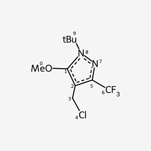 COc1c(CCl)c(C(F)(F)F)nn1C(C)(C)C